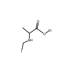 CCOC(=O)C(C)NCI